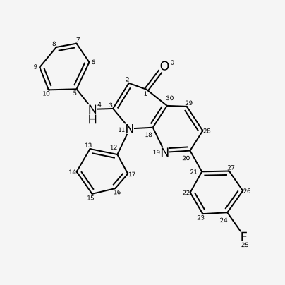 O=c1cc(Nc2ccccc2)n(-c2ccccc2)c2nc(-c3ccc(F)cc3)ccc12